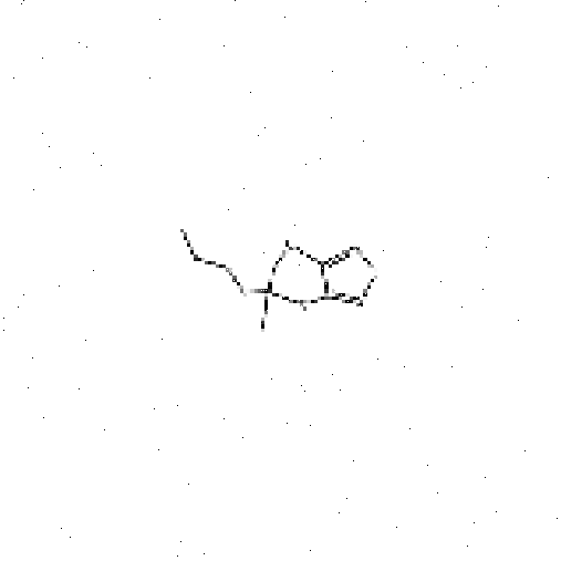 CCCCC1(C)COc2cscc2O1